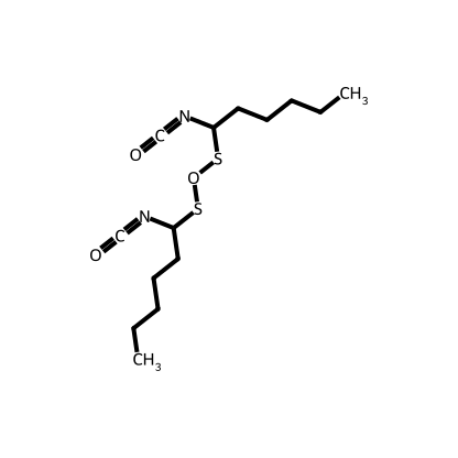 CCCCCC(N=C=O)SOSC(CCCCC)N=C=O